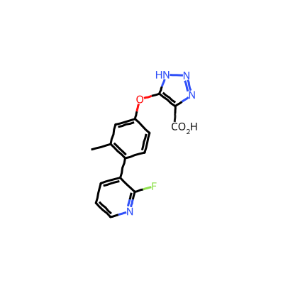 Cc1cc(Oc2[nH]nnc2C(=O)O)ccc1-c1cccnc1F